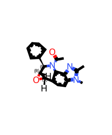 CC(=O)N1c2c(ccc3c2nc(C)n3C)[C@@H]2O[C@@H]2[C@H]1c1ccccc1